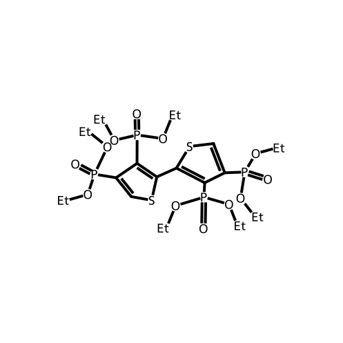 CCOP(=O)(OCC)c1csc(-c2scc(P(=O)(OCC)OCC)c2P(=O)(OCC)OCC)c1P(=O)(OCC)OCC